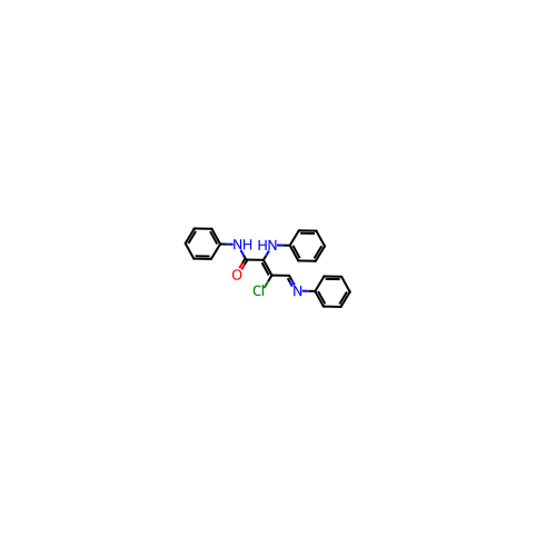 O=C(Nc1ccccc1)C(Nc1ccccc1)=C(Cl)C=Nc1ccccc1